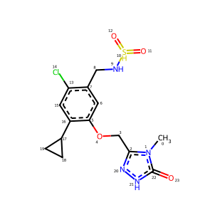 Cn1c(COc2cc(CN[SH](=O)=O)c(Cl)cc2C2CC2)n[nH]c1=O